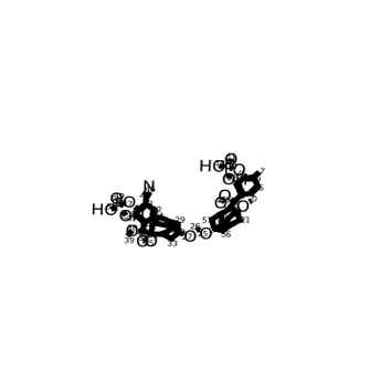 COC1(c2ccc(C)c(OP(=O)(O)O)c2)OOC12C1CC3CC2CC(OCOC24CC5CC(C2)C2(OOC2(OC)c2ccc(C#N)c(OP(=O)(O)O)c2)C(C5)C4)(C3)C1